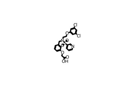 O=C(O)COc1cccc(CN(CCOc2cc(Cl)cc(Cl)c2)S(=O)(=O)c2cccnc2)c1